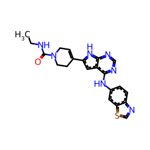 CCNC(=O)N1CC=C(c2cc3c(Nc4ccc5ncsc5c4)ncnc3[nH]2)CC1